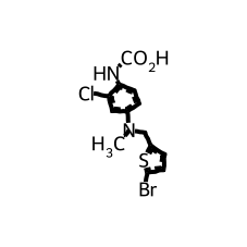 CN(Cc1ccc(Br)s1)c1ccc(NC(=O)O)c(Cl)c1